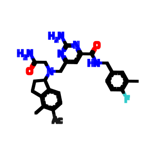 CC(=O)c1ccc2c(c1C)CCC2N(CC(N)=O)Cc1cc(C(=O)NCc2ccc(F)c(C)c2)nc(N)n1